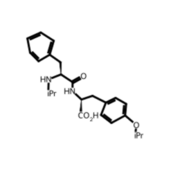 CC(C)N[C@@H](Cc1ccccc1)C(=O)N[C@@H](Cc1ccc(OC(C)C)cc1)C(=O)O